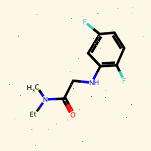 CCN(C)C(=O)CNc1cc(F)ccc1F